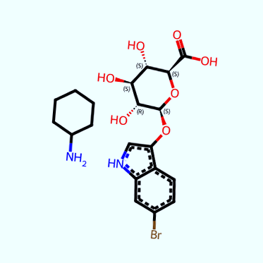 NC1CCCCC1.O=C(O)[C@H]1O[C@@H](Oc2c[nH]c3cc(Br)ccc23)[C@H](O)[C@@H](O)[C@@H]1O